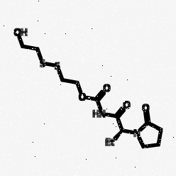 CC[C@@H](C(=O)NC(=O)OCCSSCCO)N1CCCC1=O